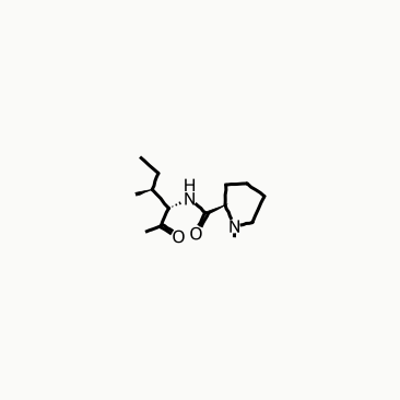 CC[C@H](C)[C@H](NC(=O)[C@H]1CCCCN1C)C(C)=O